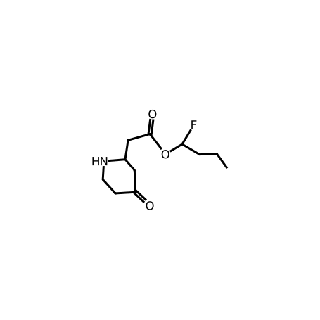 CCCC(F)OC(=O)CC1CC(=O)CCN1